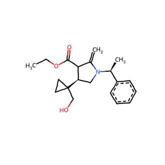 C=C1C(C(=O)OCC)[C@H](C2(CO)CC2)CN1[C@@H](C)c1ccccc1